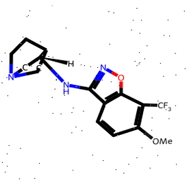 COc1ccc2c(N[C@@H]3CN4CCC3CC4)noc2c1C(F)(F)F